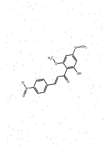 COc1cc(O)c(C(=O)C=Cc2ccc([N+](=O)[O-])cc2)c(OC)c1